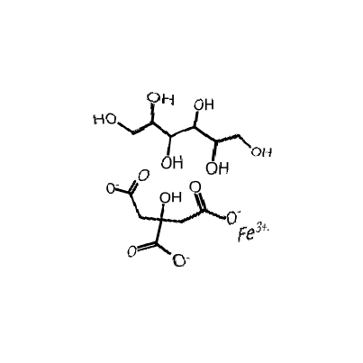 O=C([O-])CC(O)(CC(=O)[O-])C(=O)[O-].OCC(O)C(O)C(O)C(O)CO.[Fe+3]